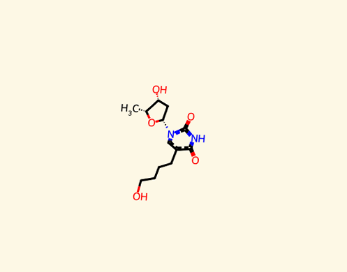 C[C@H]1O[C@@H](n2cc(CCCCO)c(=O)[nH]c2=O)C[C@H]1O